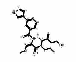 C=C(CCO)[C@H](O)N(CCC)C(=N)/C(=C\NC)NC(=O)c1cccc(-c2cn[nH]c2)c1